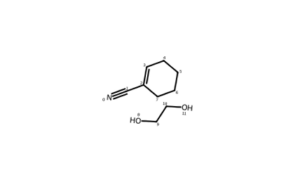 N#CC1=CCCCC1.OCCO